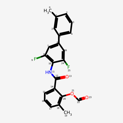 Cc1cccc(-c2cc(F)c(NC(=O)c3cccc(C)c3OC=O)c(F)c2)c1